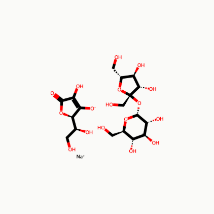 O=C1O[C@H]([C@@H](O)CO)C([O-])=C1O.OC[C@H]1O[C@@](CO)(O[C@H]2O[C@H](CO)[C@@H](O)[C@H](O)[C@H]2O)[C@@H](O)[C@@H]1O.[Na+]